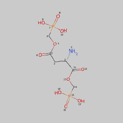 N[C@@H](CC(=O)OCP(=O)(O)O)C(=O)OCP(=O)(O)O